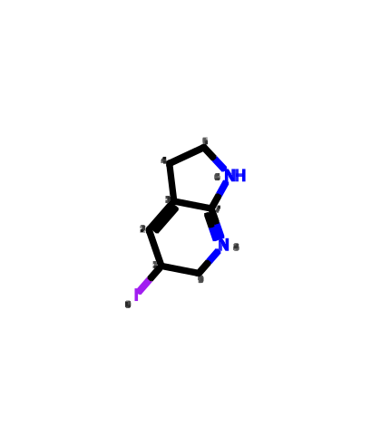 IC1C=C2CCNC2=NC1